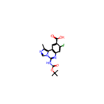 Cc1ncn2c(NC(=O)OC(C)(C)C)nc3cc(F)c(C(=O)O)cc3c12